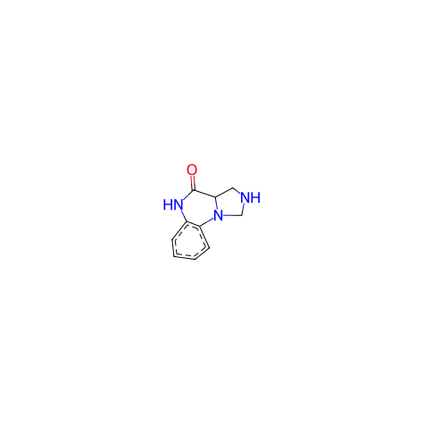 O=C1Nc2ccccc2N2CNCC12